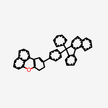 C1=C(c2ccc(C3(c4ccccc4)c4ccccc4-c4c3ccc3ccccc43)cc2)CCC2=C1c1cccc3cccc(c13)O2